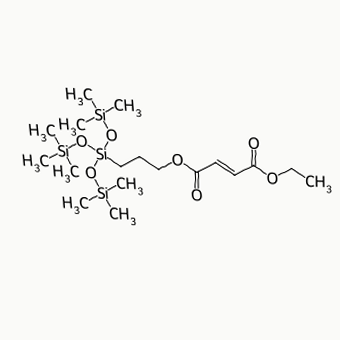 CCOC(=O)C=CC(=O)OCCC[Si](O[Si](C)(C)C)(O[Si](C)(C)C)O[Si](C)(C)C